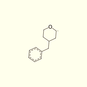 [CH]1CC(Cc2ccccc2)CCO1